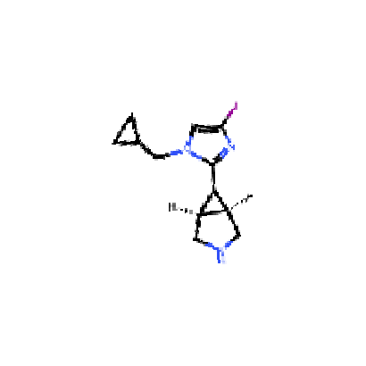 Ic1cn(CC2CC2)c(C2[C@H]3CNC[C@@H]23)n1